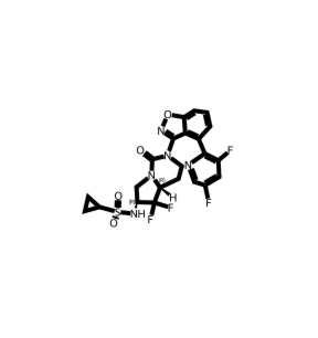 O=C1N(c2noc3cccc(-c4ncc(F)cc4F)c23)CC[C@H]2N1C[C@@H](NS(=O)(=O)C1CC1)C2(F)F